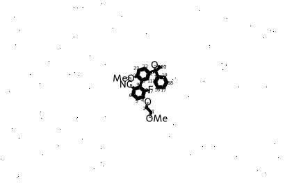 COCCOc1ccc(C#N)c(-c2cc(C3(c4ccccc4)CO3)ccc2OC)c1F